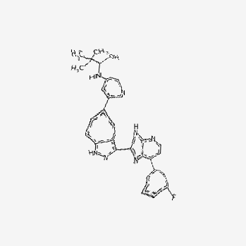 CC(C)(C)C(O)Nc1cncc(-c2ccc3[nH]nc(-c4nc5c(-c6cccc(F)c6)ccnc5[nH]4)c3c2)c1